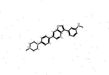 CNc1cccc(-c2coc3cc(-c4ccc(N5CCN(C)CC5)cc4)cnc23)c1